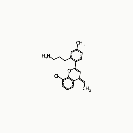 C/C=C1/C=C(c2ccc(C)cc2CCCN)Oc2c(Cl)cccc21